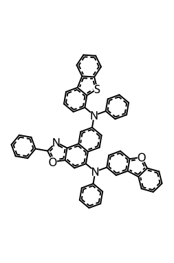 c1ccc(-c2nc3c(cc(N(c4ccccc4)c4ccc5oc6ccccc6c5c4)c4ccc(N(c5ccccc5)c5cccc6c5sc5ccccc56)cc43)o2)cc1